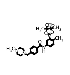 Cc1ccc(NC(=O)c2ccc(CN3CCN(C)CC3)cc2)cc1B1OC(C)(C)C(C)(C)O1